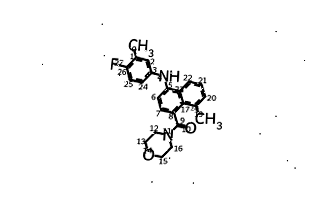 Cc1cc(Nc2ccc(C(=O)N3CCOCC3)c3c(C)cccc23)ccc1F